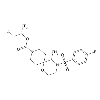 CC1N(S(=O)(=O)c2ccc(F)cc2)CCOC12CCN(C(=O)O[C@H](CO)C(F)(F)F)CC2